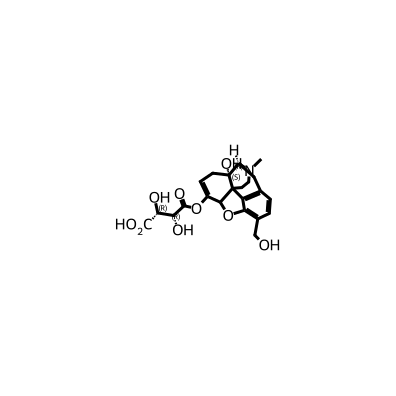 CN1CCC23c4c5ccc(CO)c4OC2C(OC(=O)[C@H](O)[C@@H](O)C(=O)O)=CC[C@@]3(O)[C@H]1C5